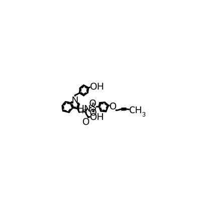 CC#CCOc1ccc(S(=O)(=O)N[C@H](Cc2cn(Cc3ccc(O)cc3)c3ccccc23)C(=O)O)cc1